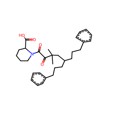 CC(C)(CC(CCCc1ccccc1)CCCc1ccccc1)C(=O)C(=O)N1CCCCC1C(=O)O